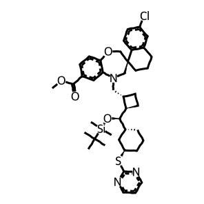 COC(=O)c1ccc2c(c1)N(C[C@@H]1CC[C@H]1[C@H](O[Si](C)(C)C(C)(C)C)[C@@H]1CCC[C@@H](Sc3ncccn3)C1)C[C@@]1(CCCc3cc(Cl)ccc31)CO2